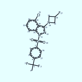 CC(F)(F)c1ccc(S(=O)(=O)n2nc(N3CC(F)C3)c3c(Cl)cccc32)cc1